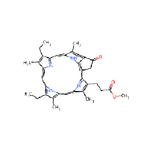 CCC1=C(C)c2cc3[nH]c(cc4nc(c5c6[nH]c(cc1n2)c(C)c6C(=O)C5)C(CCC(=O)OC)=C4C)c(C)c3CC